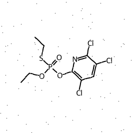 CCOP(=O)(Oc1nc(Cl)c(Cl)cc1Cl)SCC